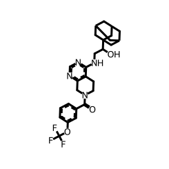 O=C(c1cccc(OC(F)(F)F)c1)N1CCc2c(ncnc2NCC(O)C23CC4CC(CC(C4)C2)C3)C1